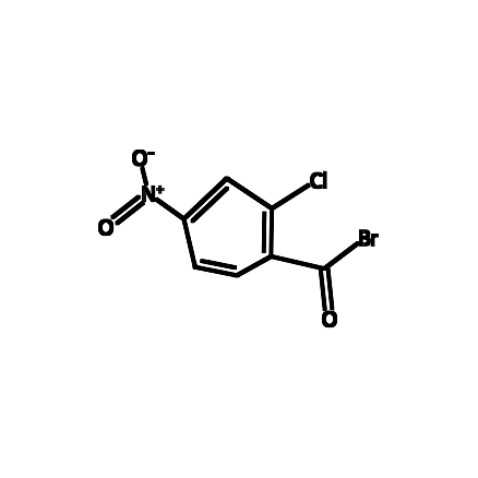 O=C(Br)c1ccc([N+](=O)[O-])cc1Cl